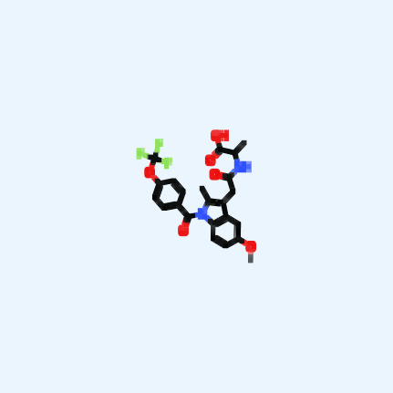 COc1ccc2c(c1)c(CC(=O)NC(C)C(=O)O)c(C)n2C(=O)c1ccc(OC(F)(F)F)cc1